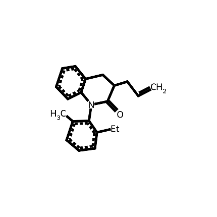 C=CCC1Cc2ccccc2N(c2c(C)cccc2CC)C1=O